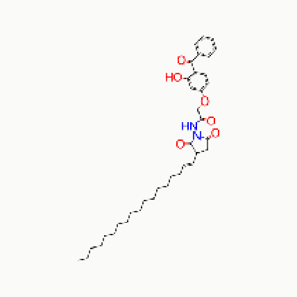 CCCCCCCCCCCCCCCCC=CC1CC(=O)N(NC(=O)COc2ccc(C(=O)c3ccccc3)c(O)c2)C1=O